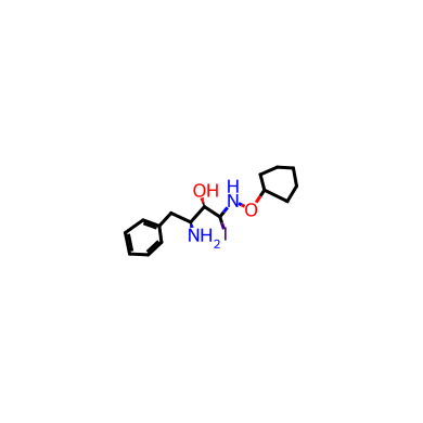 N[C@@H](Cc1ccccc1)[C@@H](O)C(I)NOC1CCCCC1